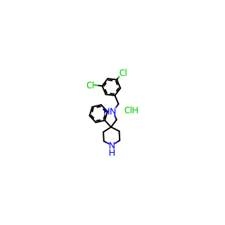 Cl.Clc1cc(Cl)cc(CNCC2(c3ccccc3)CCNCC2)c1